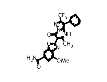 COc1cc(C(N)=O)cc2oc(-c3c(C)[nH]c4c(-c5ccccc5)c(C(F)(F)F)nn4c3=O)nc12